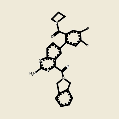 Nc1nc(C(=O)N2Cc3ccccc3C2)c2cc(-c3cc(F)c(F)cc3C(=O)N3CCC3)ccc2n1